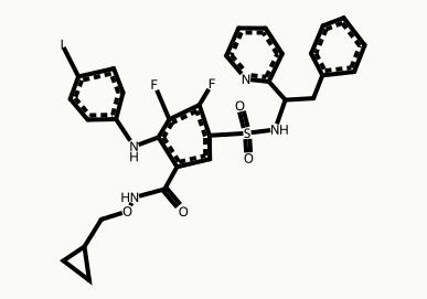 O=C(NOCC1CC1)c1cc(S(=O)(=O)NC(Cc2ccccc2)c2ccccn2)c(F)c(F)c1Nc1ccc(I)cc1